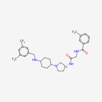 O=C(CNC(=O)c1cccc(C(F)(F)F)c1)N[C@@H]1CCN(C2CCC(NCc3cc(C(F)(F)F)cc(C(F)(F)F)c3)CC2)C1